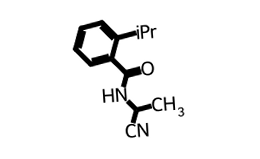 CC(C#N)NC(=O)c1ccccc1C(C)C